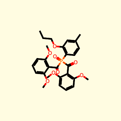 CCCOc1cc(C)ccc1P(=O)(C(=O)c1c(OC)cccc1OC)C(=O)c1c(OC)cccc1OC